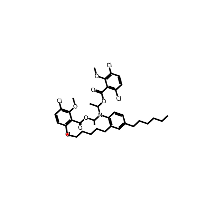 CCCCCCc1ccc(N(C(C)OC(=O)c2c(Cl)ccc(Cl)c2OC)C(C)OC(=O)c2c(Cl)ccc(Cl)c2OC)c(CCCCCC)c1